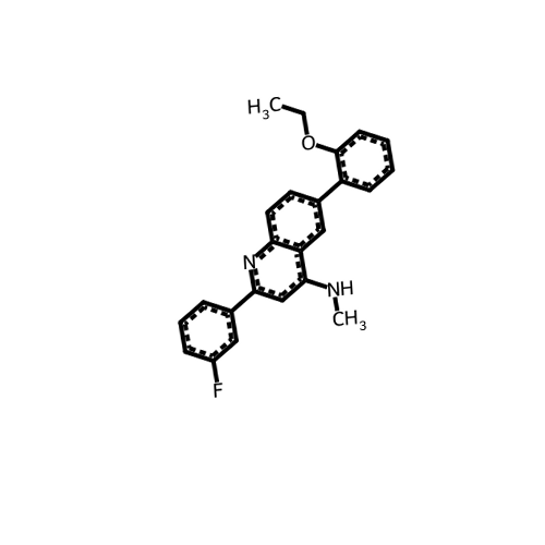 CCOc1ccccc1-c1ccc2nc(-c3cccc(F)c3)cc(NC)c2c1